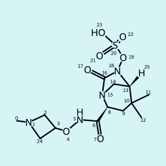 CN1CC(ONC(=O)[C@@H]2CC(C)(C)[C@@H]3CN2C(=O)N3OS(=O)(=O)O)C1